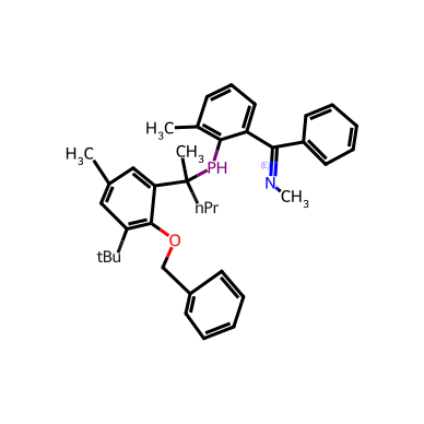 CCCC(C)(Pc1c(C)cccc1/C(=N/C)c1ccccc1)c1cc(C)cc(C(C)(C)C)c1OCc1ccccc1